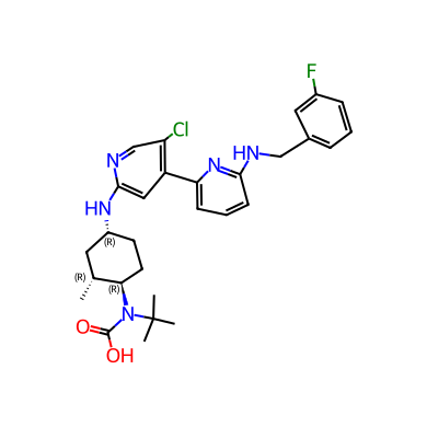 C[C@@H]1C[C@H](Nc2cc(-c3cccc(NCc4cccc(F)c4)n3)c(Cl)cn2)CC[C@H]1N(C(=O)O)C(C)(C)C